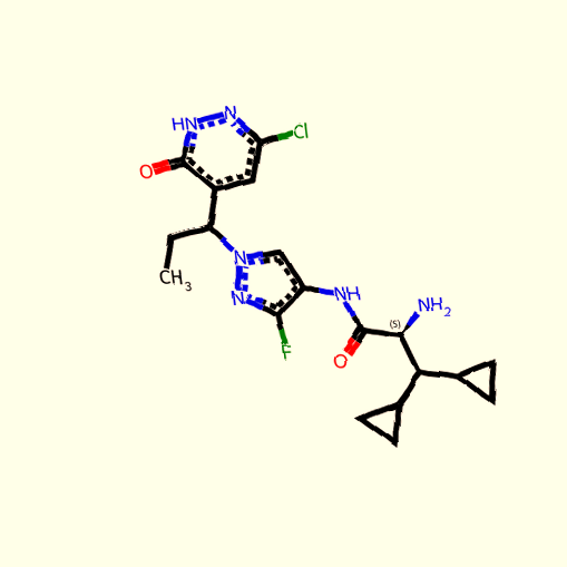 CCC(c1cc(Cl)n[nH]c1=O)n1cc(NC(=O)[C@@H](N)C(C2CC2)C2CC2)c(F)n1